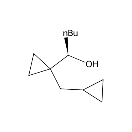 CCCC[C@@H](O)C1(CC2CC2)CC1